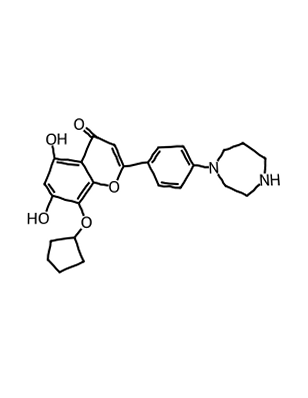 O=c1cc(-c2ccc(N3CCCNCC3)cc2)oc2c(OC3CCCC3)c(O)cc(O)c12